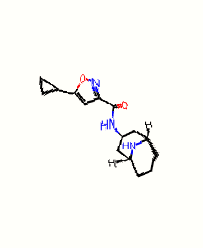 O=C(N[C@@H]1C[C@H]2CCC[C@@H](C1)N2)c1cc(C2CC2)on1